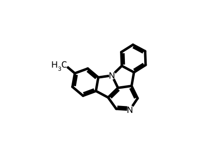 Cc1ccc2c3cncc4c5ccccc5n(c2c1)c43